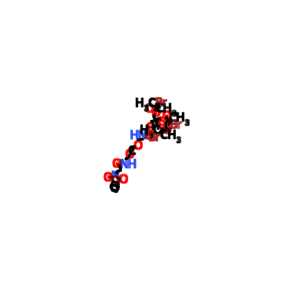 CC(C)(Br)C(=O)OCC(COCC(=O)NCCOCCOCCNC(=O)CCN1C(=O)C2C3C=CC(C3=O)C2C1=O)(COC(=O)C(C)(C)Br)COC(=O)C(C)(C)Br